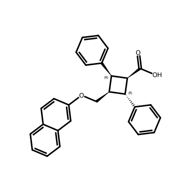 O=C(O)[C@H]1[C@H](c2ccccc2)[C@@H](COc2ccc3ccccc3c2)[C@H]1c1ccccc1